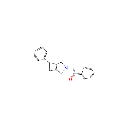 O=C(CN1CC2CC(c3ccccc3)C2C1)c1ccccc1